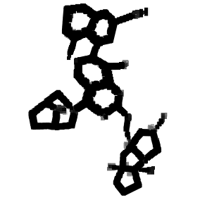 Oc1cc(-c2ncc3c(N4CC5CCC(C4)N5)nc(OC[C@]45C[C@H](F)CN4[C@H]4CCC[C@H]4C5)nc3c2F)c2c(I)cccc2c1